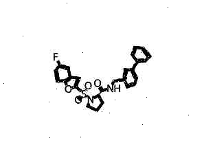 O=C(NCc1cccc(-c2ccccc2)c1)[C@@H]1CCCN1S(=O)(=O)c1cc2cc(F)ccc2o1